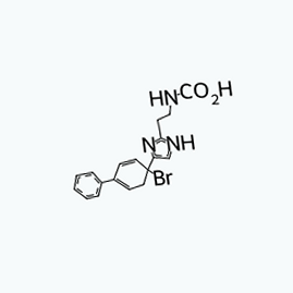 O=C(O)NCCc1nc(C2(Br)C=CC(c3ccccc3)=CC2)c[nH]1